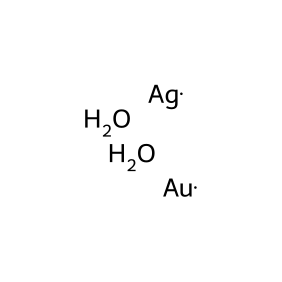 O.O.[Ag].[Au]